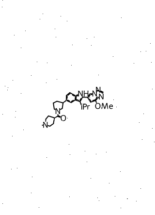 COc1cc(-c2[nH]c3ccc(C4CCCN(C(=O)C5CCN(C)CC5)C4)cc3c2C(C)C)cn2ncnc12